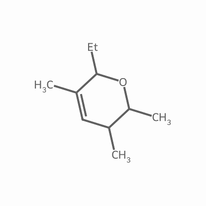 CCC1OC(C)C(C)C=C1C